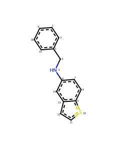 c1ccc(CNc2ccc3sccc3c2)cc1